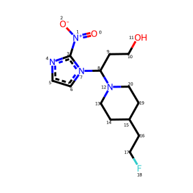 O=[N+]([O-])c1nccn1C(CCO)N1CCC(CCF)CC1